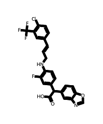 O=C(O)C(c1ccc(NCC=Cc2ccc(Cl)c(C(F)(F)F)c2)c(F)c1)c1ccc2ocnc2c1